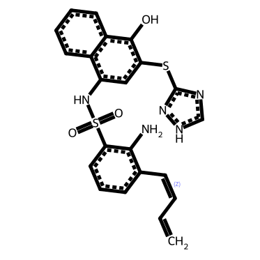 C=C/C=C\c1cccc(S(=O)(=O)Nc2cc(Sc3nc[nH]n3)c(O)c3ccccc23)c1N